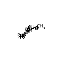 Cc1cccc(CC/C=C/[C@@H]2[C@H]3CC(CCSCC(=O)N(C(C)C)C(C)C)=C[C@H]3C[C@H]2O)c1